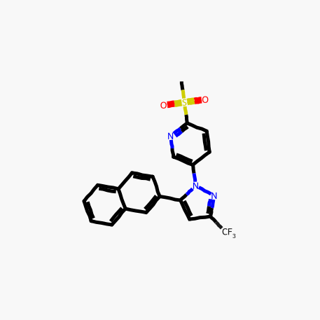 CS(=O)(=O)c1ccc(-n2nc(C(F)(F)F)cc2-c2ccc3ccccc3c2)cn1